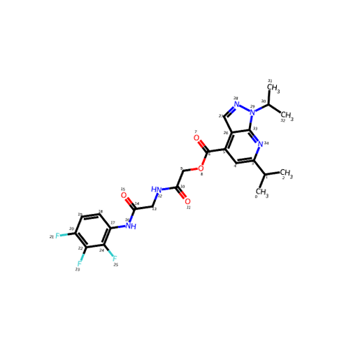 CC(C)c1cc(C(=O)OCC(=O)NCC(=O)Nc2ccc(F)c(F)c2F)c2cnn(C(C)C)c2n1